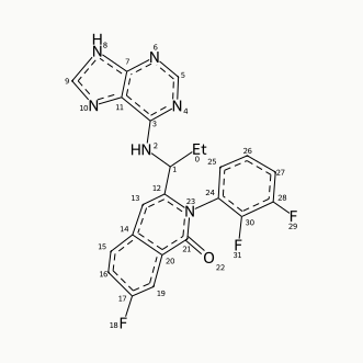 CCC(Nc1ncnc2[nH]cnc12)c1cc2ccc(F)cc2c(=O)n1-c1cccc(F)c1F